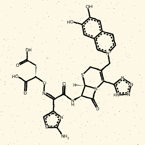 Nc1nc(/C(=N/O[C@@H](CC(=O)O)C(=O)O)C(=O)N[C@@H]2C(=O)N3C(c4nnn[nH]4)=C(C[n+]4ccc5cc(O)c(O)cc5c4)CS[C@H]23)cs1